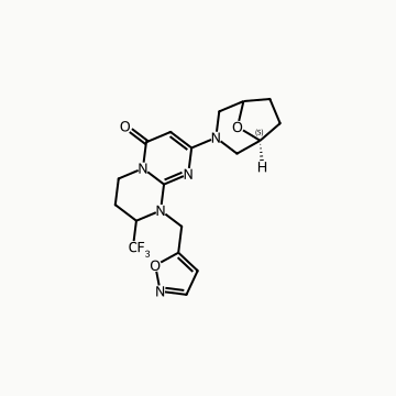 O=c1cc(N2CC3CC[C@@H](C2)O3)nc2n1CCC(C(F)(F)F)N2Cc1ccno1